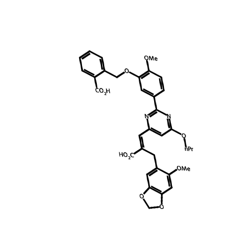 CCCOc1cc(/C=C(\Cc2cc3c(cc2OC)OCO3)C(=O)O)nc(-c2ccc(OC)c(OCc3ccccc3C(=O)O)c2)n1